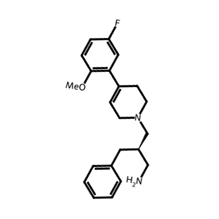 COc1ccc(F)cc1C1=CCN(C[C@@H](CN)Cc2ccccc2)CC1